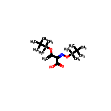 C=C(O[Si](C)(C)C(C)(C)C)/C(=N/O[Si](C)(C)C(C)(C)C)C(=O)O